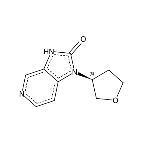 O=c1[nH]c2cnccc2n1[C@H]1CCOC1